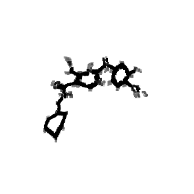 O=C(NCC1CCCCC1)c1cnc(Nc2ccc(C(F)(F)F)c(F)c2)nc1CF